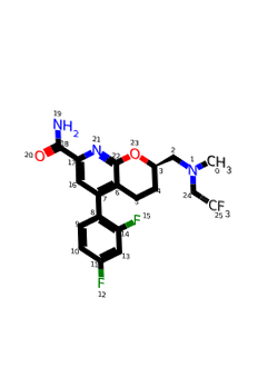 CN(C[C@H]1CCc2c(-c3ccc(F)cc3F)cc(C(N)=O)nc2O1)CC(F)(F)F